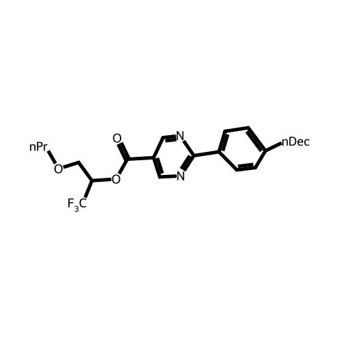 CCCCCCCCCCc1ccc(-c2ncc(C(=O)OC(COCCC)C(F)(F)F)cn2)cc1